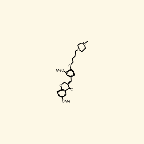 COc1ccc2c(c1)C(=O)C(=Cc1ccc(OCCCCN3CCN(C)CC3)c(OC)c1)CO2